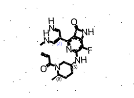 C=CC(=O)N1C[C@@H](Nc2nc(/C(C=N)=C/NC)c3c(c2F)NC3=O)CC[C@H]1C